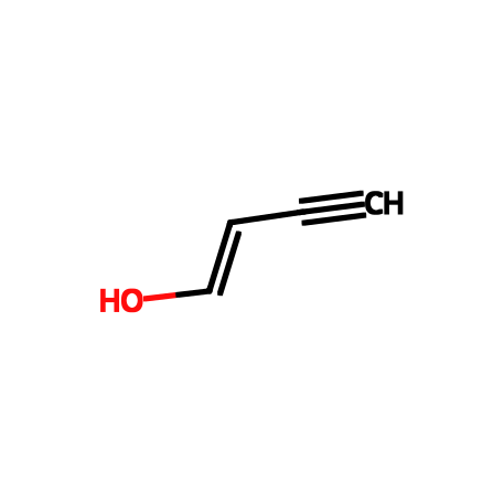 C#CC=CO